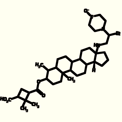 CCC(CNC12CCC[C@@H]1C1CCC3C(CCC4C(C)C(OC(=O)C5CC(C(=O)O)C5(C)C)CCC43C)C1CC2)N1CC[S+]([O-])CC1